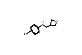 CCc1ccc(NCC2COC2)cc1